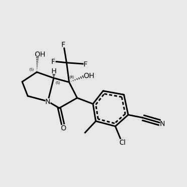 Cc1c(C2C(=O)N3CC[C@H](O)[C@H]3[C@@]2(O)C(F)(F)F)ccc(C#N)c1Cl